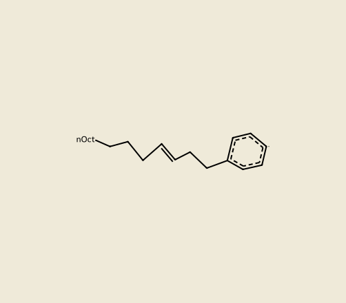 CCCCCCCCCCCC=CCCc1cc[c]cc1